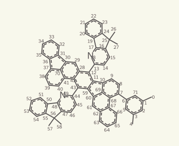 Cc1cc(C)cc(-c2ccc3c4c(-c5ccc6c(n5)-c5ccccc5C6(C)C)c5cc6c7ccccc7c7cccc(c5c(-c5ccc8c(n5)-c5ccccc5C8(C)C)c4c4cc5ccccc5c2c34)c76)c1